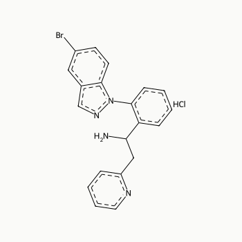 Cl.NC(Cc1ccccn1)c1ccccc1-n1ncc2cc(Br)ccc21